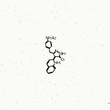 CC(=O)Nc1ccc(CC2=NNC(=O)C2=C2C=Cc3ccccc3N2)cc1